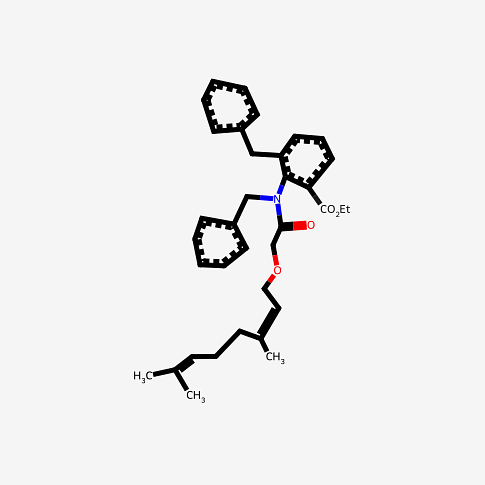 CCOC(=O)c1cccc(Cc2ccccc2)c1N(Cc1ccccc1)C(=O)COCC=C(C)CCC=C(C)C